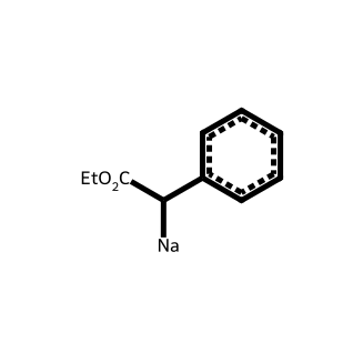 CCOC(=O)[CH]([Na])c1ccccc1